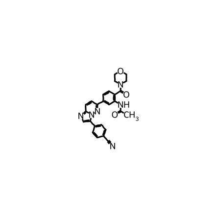 CC(=O)Nc1cc(-c2ccc3ncc(-c4ccc(C#N)cc4)n3n2)ccc1C(=O)N1CCOCC1